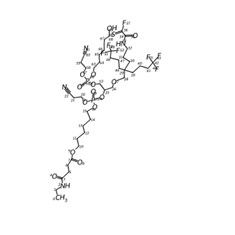 CCNC(=O)CCC(=O)OCCCCCCOP(=O)(OCCC#N)OC(COCC(CCCNC(=O)C(F)=S)(CCCC(F)(F)F)CCCC(F)(F)F)COP(=O)(OCCC#N)OCCCCCCO